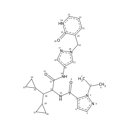 CC(C)n1nccc1C(=O)NC(C(=O)Nc1cnn(Cc2ccc[nH]c2=O)c1)C(C1CC1)C1CC1